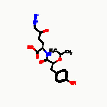 CC(C)O[C@@H](Cc1ccc(O)cc1)C(=O)N[C@@H](CCC(=O)C=[N+]=[N-])C(=O)O